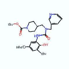 COc1cc(NC(=O)N(Cc2cccnc2)CC2CCN(C(=O)OC(C)(C)C)CC2)c(O)c(C(C)(C)C)c1